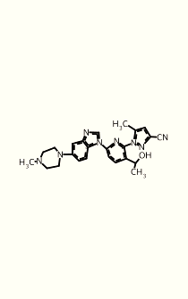 Cc1cc(C#N)nn1-c1nc(-n2cnc3cc(N4CCN(C)CC4)ccc32)ccc1C(C)O